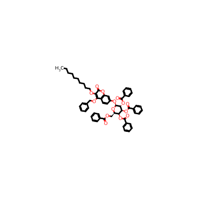 CCCCCCCCCCOc1c(OCc2ccccc2)c2ccc(O[C@@H]3O[C@H](COC(=O)c4ccccc4)[C@H](OC(=O)c4ccccc4)[C@H](OC(=O)c4ccccc4)[C@H]3OC(=O)c3ccccc3)cc2oc1=O